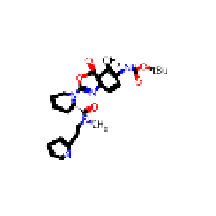 Cc1c(NC(=O)OC(C)(C)C)ccc2nc(N3CCCC[C@H]3C(=O)N(C)CCc3ccccn3)oc(=O)c12